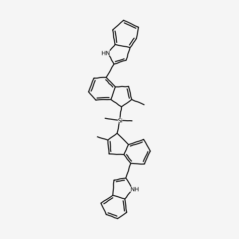 CC1=Cc2c(-c3cc4ccccc4[nH]3)cccc2C1[Si](C)(C)C1C(C)=Cc2c(-c3cc4ccccc4[nH]3)cccc21